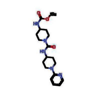 CC(C)(C)OC(=O)NC1CCN(C(=O)NC2CCN(c3ccccn3)CC2)CC1